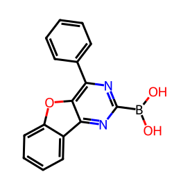 OB(O)c1nc(-c2ccccc2)c2oc3ccccc3c2n1